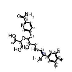 CC(O)C(CO)OC(Sc1ccc(C(N)=O)nc1)C(O)CN/C=C(\N)c1cc(F)c(F)c(F)c1